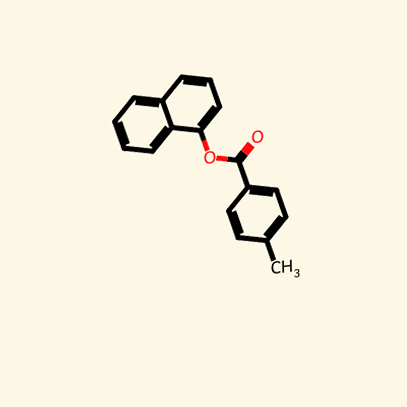 Cc1ccc(C(=O)Oc2cccc3ccccc23)cc1